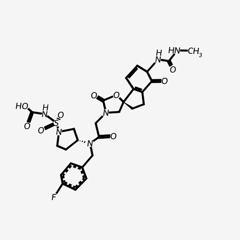 CNC(=O)NC1C=CC2=C(CC[C@]23CN(CC(=O)N(Cc2ccc(F)cc2)[C@@H]2CCN(S(=O)(=O)NC(=O)O)C2)C(=O)O3)C1=O